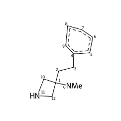 CNC1(CCc2ccccc2)CNC1